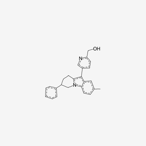 Cc1ccc2c(c1)c(-c1ccc(CO)nc1)c1n2CC(c2ccccc2)CC1